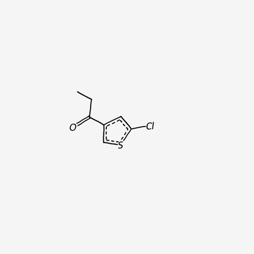 CCC(=O)c1csc(Cl)c1